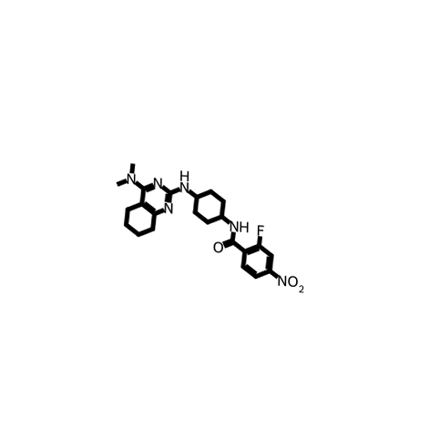 CN(C)c1nc(NC2CCC(NC(=O)c3ccc([N+](=O)[O-])cc3F)CC2)nc2c1CCCC2